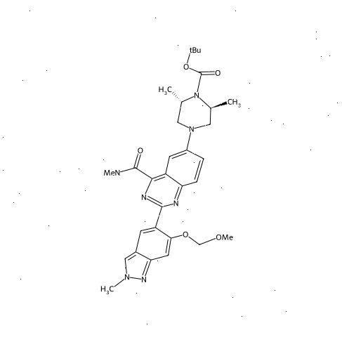 CNC(=O)c1nc(-c2cc3cn(C)nc3cc2OCOC)nc2ccc(N3C[C@H](C)N(C(=O)OC(C)(C)C)[C@@H](C)C3)cc12